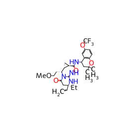 C=C[C@@]1(CC)CC(=O)N([C@H](CCOC)[C@@H]2C[C@H]2C(=O)NC2CC(C)(C)Oc3ccc(OC(F)(F)F)cc32)C(=N)N1